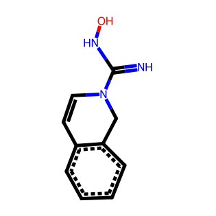 N=C(NO)N1C=Cc2ccccc2C1